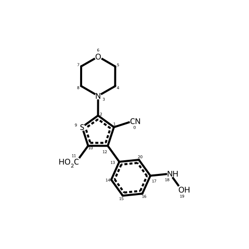 N#Cc1c(N2CCOCC2)sc(C(=O)O)c1-c1cccc(NO)c1